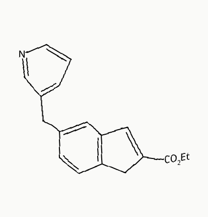 CCOC(=O)C1=Cc2cc(Cc3cccnc3)ccc2C1